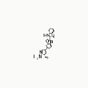 Nc1ncc(-c2ccc3nc(-c4nc5ccccc5[nH]4)oc3c2)cc1CF